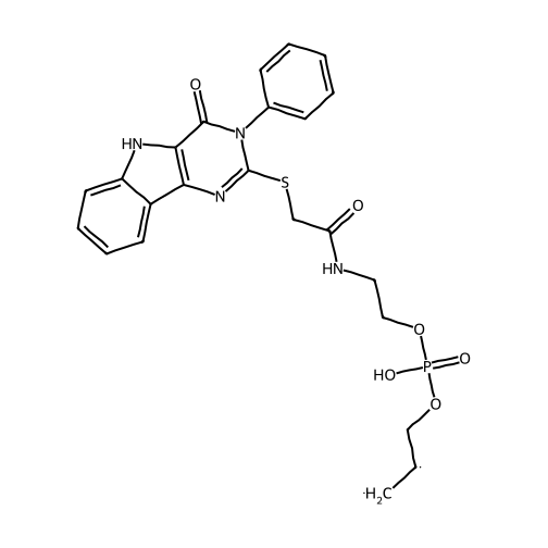 [CH2][CH]COP(=O)(O)OCCNC(=O)CSc1nc2c([nH]c3ccccc32)c(=O)n1-c1ccccc1